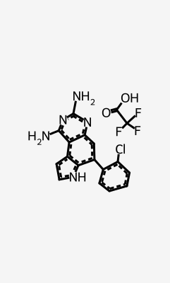 Nc1nc(N)c2c(cc(-c3ccccc3Cl)c3[nH]ccc32)n1.O=C(O)C(F)(F)F